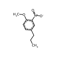 CCCc1ccc(OC)c([N+](=O)[O-])c1